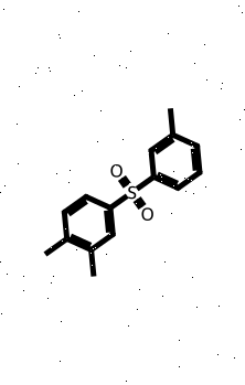 Cc1cccc(S(=O)(=O)c2ccc(C)c(C)c2)c1